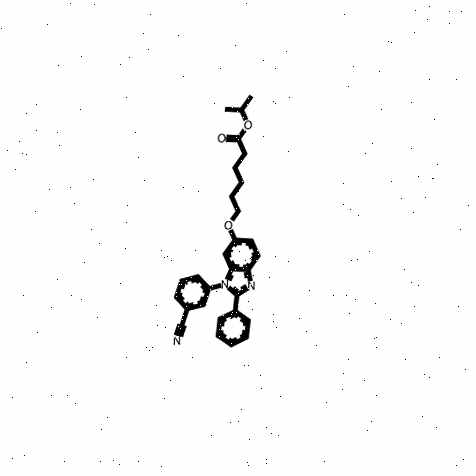 CC(C)OC(=O)CCCCCOc1ccc2nc(-c3ccccc3)n(-c3cccc(C#N)c3)c2c1